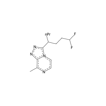 CCCC(CCC(F)F)c1nnc2c(C)nccn12